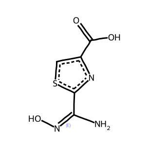 N/C(=N/O)c1nc(C(=O)O)cs1